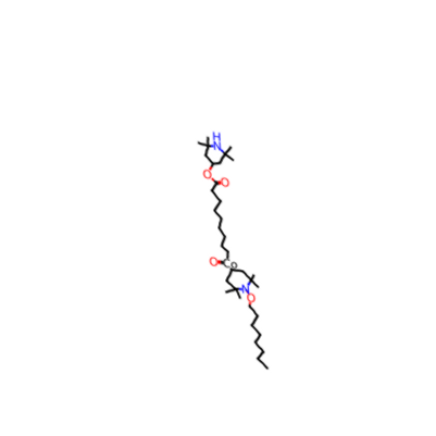 CCCCCCCCON1C(C)(C)C[CH]([Co](=[O])[CH2]CCCCCCCC(=O)OC2CC(C)(C)NC(C)(C)C2)CC1(C)C